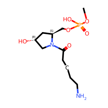 COP(=O)(O)OC[C@@H]1C[C@@H](O)CN1C(=O)CCCCN